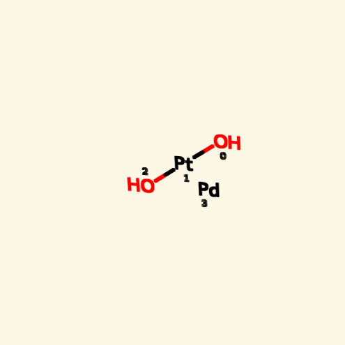 [OH][Pt][OH].[Pd]